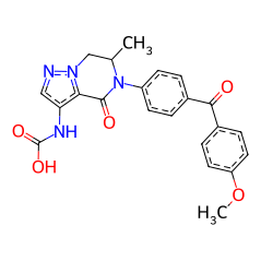 COc1ccc(C(=O)c2ccc(N3C(=O)c4c(NC(=O)O)cnn4CC3C)cc2)cc1